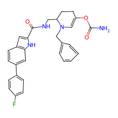 NC(=O)OC1=CN(Cc2ccccc2)C(CNC(=O)c2cc3ccc(-c4ccc(F)cc4)cc3[nH]2)CC1